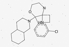 Clc1cccc(C2(N3CCC4CCCCC4C3)OCC[N]C23CCN3)c1